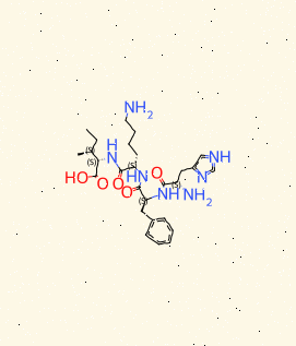 CC[C@H](C)[C@H](NC(=O)[C@H](CCCCN)NC(=O)[C@H](Cc1ccccc1)NC(=O)[C@@H](N)Cc1c[nH]cn1)C(=O)O